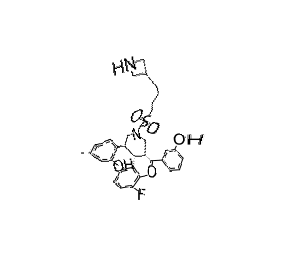 Cc1c(F)cccc1[C@H]1[C@@H](C(=O)c2cccc(O)c2)CN(S(=O)(=O)CCCC2CNC2)C[C@@H]1c1cc[c]cc1O